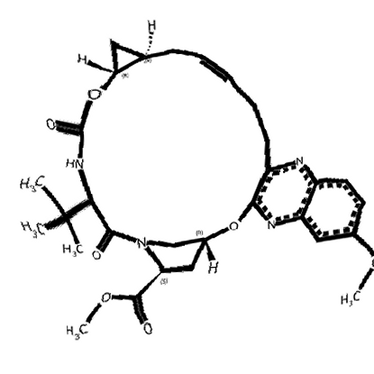 COC(=O)[C@@H]1C[C@@H]2CN1C(=O)C(C(C)(C)C)NC(=O)O[C@@H]1C[C@H]1CC=CCCc1nc3ccc(OC)cc3nc1O2